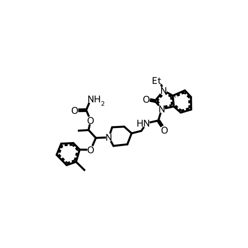 CCn1c(=O)n(C(=O)NCC2CCN(C(Oc3ccccc3C)C(C)OC(N)=O)CC2)c2ccccc21